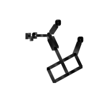 CS(=O)#CC12CCC1CC2=O